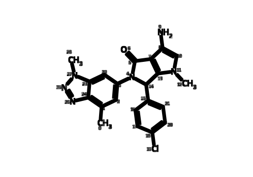 Cc1cc(N2C(=O)c3c(N)cn(C)c3C2c2ccc(Cl)cc2)cc2c1nnn2C